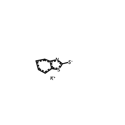 [K+].[S-]c1nc2ccccc2s1